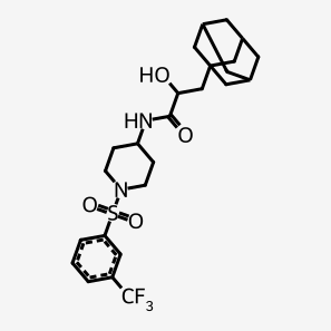 O=C(NC1CCN(S(=O)(=O)c2cccc(C(F)(F)F)c2)CC1)C(O)CC12CC3CC(CC(C3)C1)C2